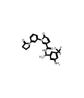 C[C@@H](NC(=O)c1ccc(=O)n(-c2cccc(N3CCCC3=O)c2)c1)c1cc(N)cc(C(F)(F)F)c1